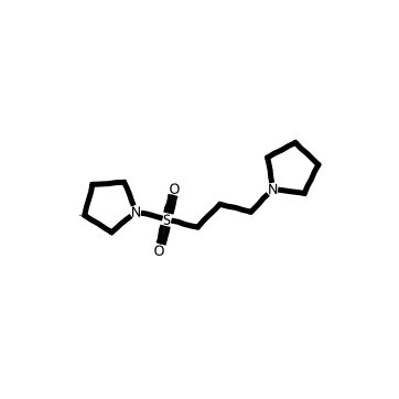 O=S(=O)(CCCN1CCCC1)N1C[CH]CC1